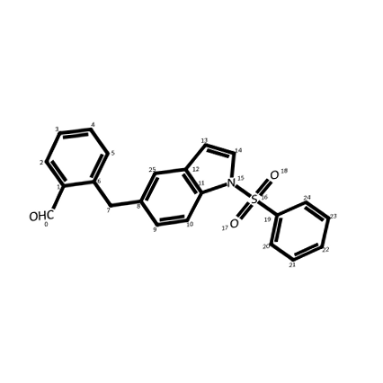 O=Cc1ccccc1Cc1ccc2c(ccn2S(=O)(=O)c2ccccc2)c1